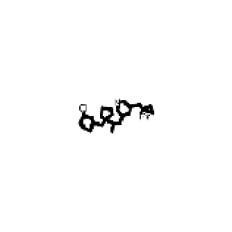 CC(C)C1(Cc2cncc(CC(C)C3(Cc4cccc(Cl)c4)CCCC3)c2)CC1